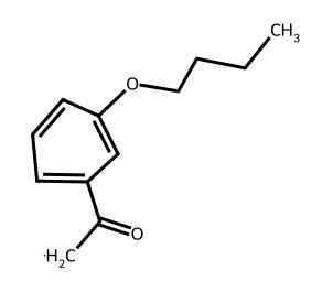 [CH2]C(=O)c1cccc(OCCCC)c1